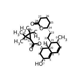 C[C@H]1C=CC2=C[C@@H](O)C[C@H](OC(=O)C3C(C)(C)C3(C)C)[C@@H]2[C@H]1CC[C@H]1CCCC(=O)O1